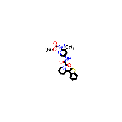 Cc1cc(NC(=O)C(=O)N2CCCCC2c2csc3ccccc23)cnc1NC(=O)OC(C)(C)C